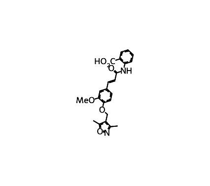 COc1cc(C=CC(=O)Nc2ccccc2C(=O)O)ccc1OCc1c(C)noc1C